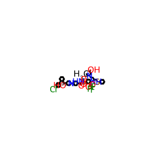 CCN(CCO)CCC(CSc1ccccc1)Nc1ccc(S(=O)(=O)NC(=O)c2ccc(N3CCC([C@@H](O)c4ccccc4-c4ccc(Cl)cc4)CC3)cc2)cc1S(=O)(=O)C(F)(F)F